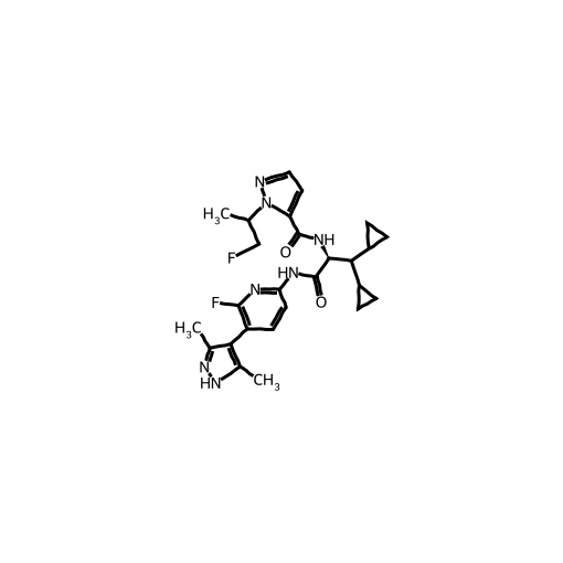 Cc1n[nH]c(C)c1-c1ccc(NC(=O)[C@@H](NC(=O)c2ccnn2C(C)CF)C(C2CC2)C2CC2)nc1F